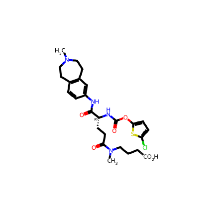 CN1CCc2ccc(NC(=O)[C@@H](CCC(=O)N(C)CCCC(=O)O)NC(=O)Oc3ccc(Cl)s3)cc2CC1